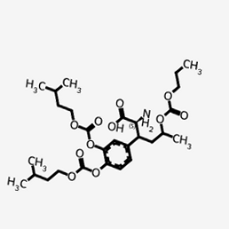 CCCOC(=O)OC(C)CC(c1ccc(OC(=O)OCCC(C)C)c(OC(=O)OCCC(C)C)c1)[C@H](N)C(=O)O